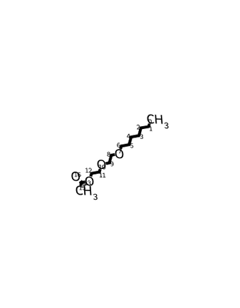 CCCCCCCOCCOCCOC(C)=O